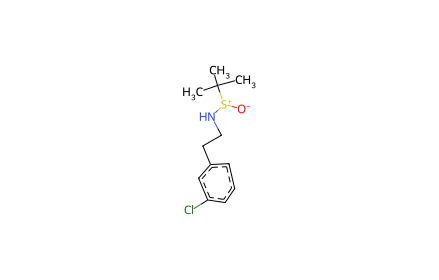 CC(C)(C)[S+]([O-])NCCc1cccc(Cl)c1